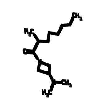 CCCCCCC(C)C(=O)N1CC(N(C)C)C1